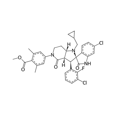 COC(=O)c1c(C)cc(N2CC[C@H]3[C@@H](C2=O)[C@H](c2cccc(Cl)c2F)[C@]2(C(=O)Nc4cc(Cl)ccc42)N3CC2CC2)cc1C